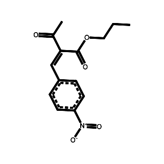 CCCOC(=O)C(=Cc1ccc([N+](=O)[O-])cc1)C(C)=O